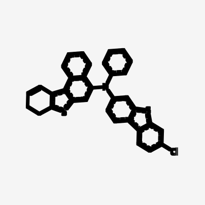 Clc1ccc2c(c1)sc1cc(N(c3ccccc3)c3cc4sc5c(c4c4ccccc34)C=CCC5)ccc12